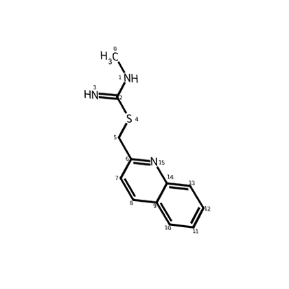 CNC(=N)SCc1ccc2ccccc2n1